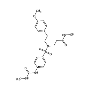 CNC(=O)Nc1ccc(S(=O)(=O)N(CCC(=O)NO)CCc2ccc(OC)cc2)cc1